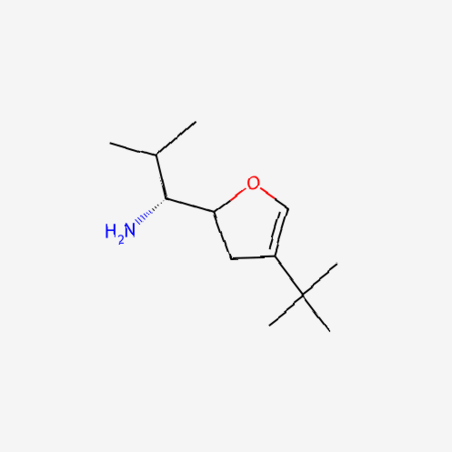 CC(C)[C@@H](N)C1CC(C(C)(C)C)=CO1